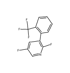 Fc1cnc(F)c(-c2ccc[c]c2C(F)(F)F)c1